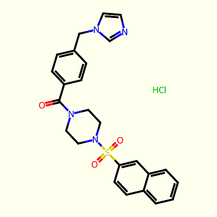 Cl.O=C(c1ccc(Cn2ccnc2)cc1)N1CCN(S(=O)(=O)c2ccc3ccccc3c2)CC1